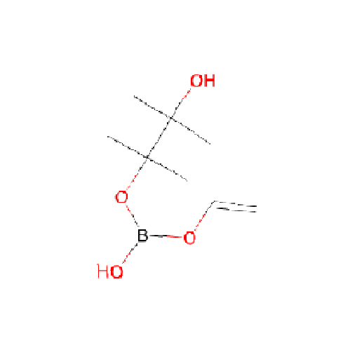 C=COB(O)OC(C)(C)C(C)(C)O